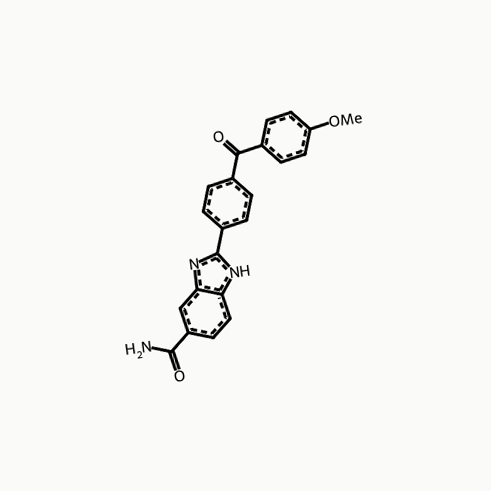 COc1ccc(C(=O)c2ccc(-c3nc4cc(C(N)=O)ccc4[nH]3)cc2)cc1